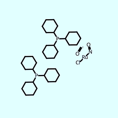 C1CCC(P(C2CCCCC2)C2CCCCC2)CC1.C1CCC(P(C2CCCCC2)C2CCCCC2)CC1.O=[N][Ru][Cl].[C]=O